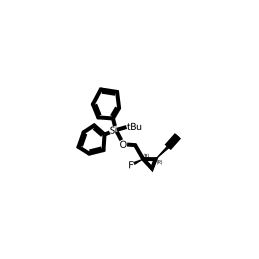 C#C[C@H]1C[C@]1(F)CO[Si](c1ccccc1)(c1ccccc1)C(C)(C)C